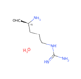 N=C(N)NCCC[C@H](N)C=O.O